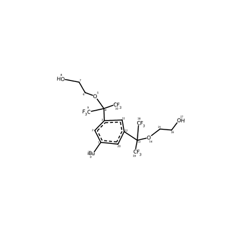 CCC(C)c1cc(C(OCCO)(C(F)(F)F)C(F)(F)F)cc(C(OCCO)(C(F)(F)F)C(F)(F)F)c1